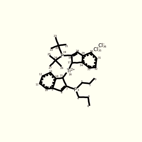 CCCP(CCC)C1=Cc2ccccc2[CH]1[Ti+2][CH]1C(P(C(C)(C)C)C(C)(C)C)=Cc2ccccc21.[Cl-].[Cl-]